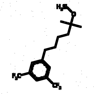 CC(C)(CCCCc1cc(C(F)(F)F)cc(C(F)(F)F)c1)O[SiH3]